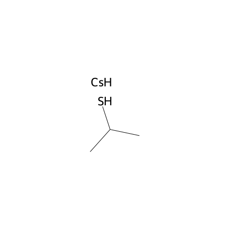 CC(C)S.[CsH]